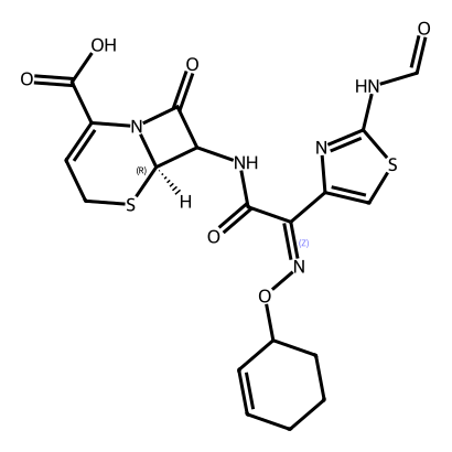 O=CNc1nc(/C(=N/OC2C=CCCC2)C(=O)NC2C(=O)N3C(C(=O)O)=CCS[C@H]23)cs1